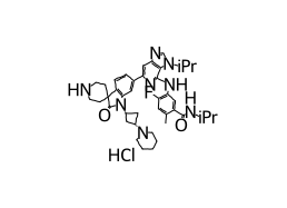 Cc1cc(F)c(Nc2nc(-c3ccc4c(c3)N([C@H]3C[C@@H](N5CCCCC5)C3)C(=O)C43CCNCC3)cc3ncn(C(C)C)c23)cc1C(=O)NC(C)C.Cl